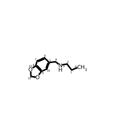 C[CH]CNCc1ccc2c(c1)OCO2